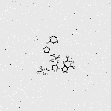 Nc1nc2c(ncn2[C@@H]2O[C@H](COP(=O)(O)O)C[C@H]2OP(=O)(O)OC[C@@H]2CC[C@H](Oc3cnccn3)C2)c(=O)[nH]1